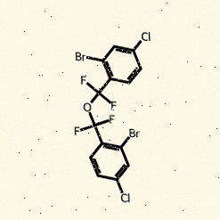 FC(F)(OC(F)(F)c1ccc(Cl)cc1Br)c1ccc(Cl)cc1Br